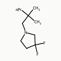 CCCC(C)(C)CN1CCC(F)(F)C1